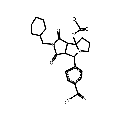 N=C(N)c1ccc(C2C3C(=O)N(CC4CCCCC4)C(=O)C3C3(OC(=O)O)CCCN23)cc1